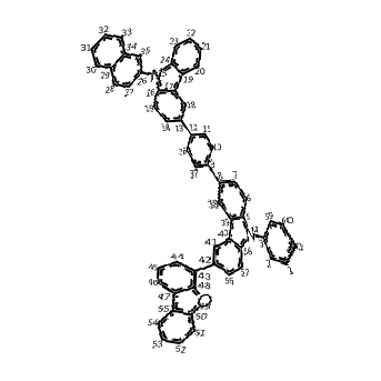 c1ccc(-n2c3ccc(-c4ccc(-c5ccc6c(c5)c5ccccc5n6-c5ccc6ccccc6c5)cc4)cc3c3cc(-c4cccc5c4oc4ccccc45)ccc32)cc1